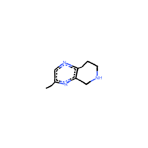 Cc1cnc2c(n1)CNCC2